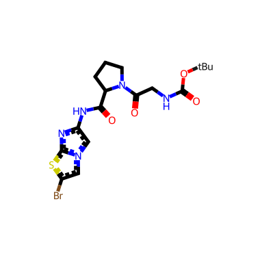 CC(C)(C)OC(=O)NCC(=O)N1CCCC1C(=O)Nc1cn2cc(Br)sc2n1